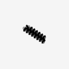 CCOC(=O)C(C)CC(CC(CC(CC(CC(CC(CC(CC(CC(CC(CC(CC(CC(CC(C)C(=O)OCC)C(=O)OCC)C(=O)OCC)C(=O)OCC)C(=O)OCC)C(=O)OCC)C(=O)OCC)C(=O)OCC)C(=O)OCC)C(=O)OCC)C(=O)OCC)C(=O)OCC)C(=O)OCC)C(=O)OCC